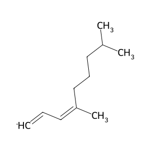 [CH]=CC=C(C)CCCC(C)C